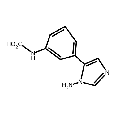 Nn1cncc1-c1cccc(NC(=O)O)c1